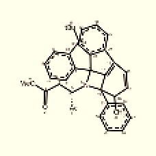 COC(=O)C[C@@H](C(C)=O)N1C2(c3ccccc3CC(C)(C)C)C3=C(C=CC(C)C31c1ccccc1)c1ccccc12